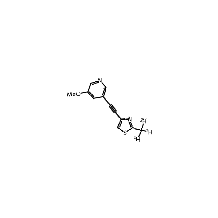 [2H]C([2H])([2H])c1nc(C#Cc2cncc(O[11CH3])c2)cs1